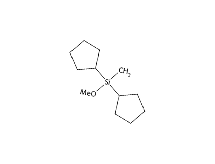 CO[Si](C)(C1CCCC1)C1CCCC1